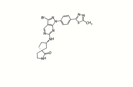 Cc1nnc(-c2ccc(-n3nc(Br)c4cnc(N[C@@H]5CC[C@]6(CCNC6=O)C5)nc43)cc2)s1